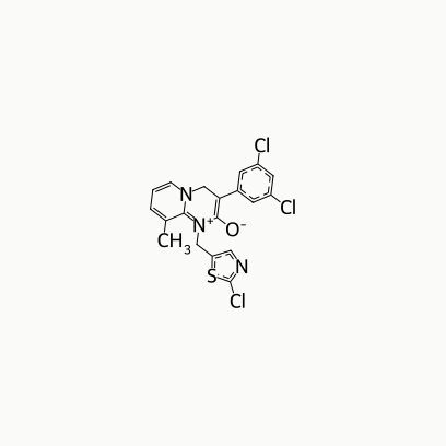 CC1=CC=CN2CC(c3cc(Cl)cc(Cl)c3)=C([O-])[N+](Cc3cnc(Cl)s3)=C12